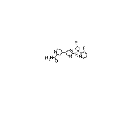 CN(c1ncc(-c2ccnc(C(N)=O)c2)cn1)[C@]1(c2ncccc2F)C[C@H](F)C1